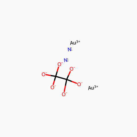 [Au+3].[Au+3].[N].[N].[O-]C([O-])([O-])C([O-])([O-])[O-]